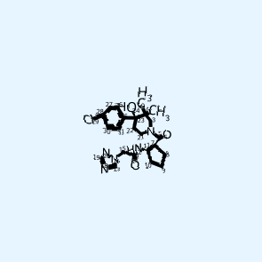 CC1(C)CN(C(=O)[C@H]2CCC[C@H]2NC(=O)Cn2cncn2)CC[C@]1(O)c1ccc(Cl)cc1